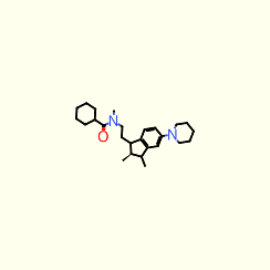 CC1c2cc(N3CCCCC3)ccc2C(CCN(C)C(=O)C2CCCCC2)[C@@H]1C